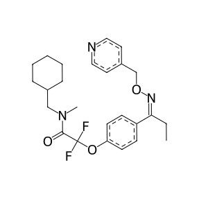 CCC(=NOCc1ccncc1)c1ccc(OC(F)(F)C(=O)N(C)CC2CCCCC2)cc1